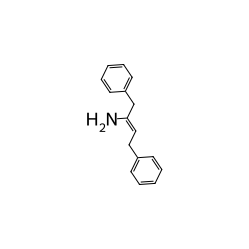 NC(=CCc1ccccc1)Cc1ccccc1